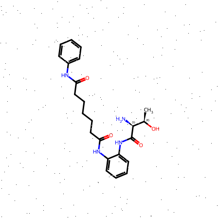 C[C@@H](O)[C@H](N)C(=O)Nc1ccccc1NC(=O)CCCCCC(=O)Nc1ccccc1